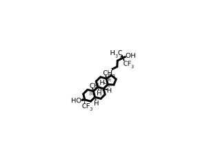 C[C@]12CC[C@@](O)(C(F)(F)F)C[C@@H]1CC[C@@H]1[C@@H]2CC[C@]2(C)[C@H](CCC[C@](C)(O)C(F)(F)F)CC[C@@H]12